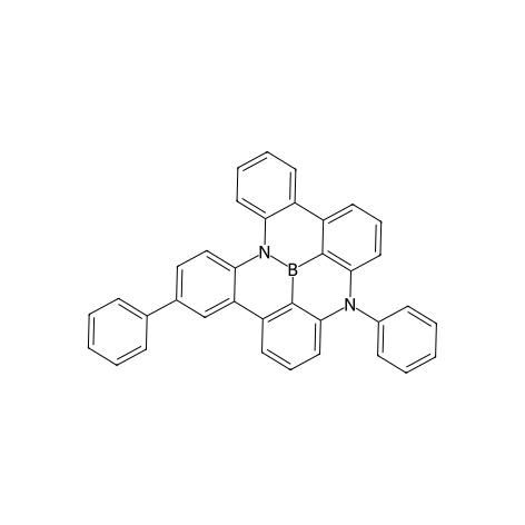 c1ccc(-c2ccc3c(c2)-c2cccc4c2B2c5c(cccc5N4c4ccccc4)-c4ccccc4N23)cc1